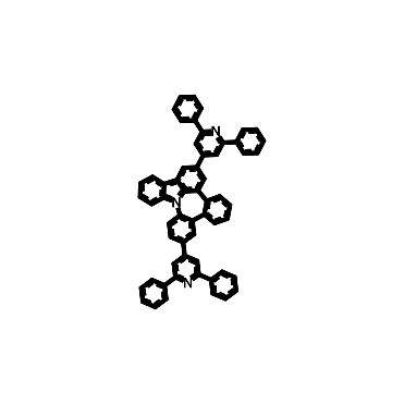 c1ccc(-c2cc(-c3ccc4c(c3)-c3ccccc3-c3cc(-c5cc(-c6ccccc6)nc(-c6ccccc6)c5)cc5c6ccccc6n-4c35)cc(-c3ccccc3)n2)cc1